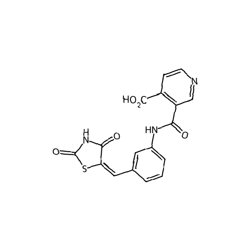 O=C1NC(=O)/C(=C\c2cccc(NC(=O)c3cnccc3C(=O)O)c2)S1